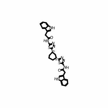 O=C(Cc1c[nH]c2ccccc12)Nc1nnc([C@@H]2CCC[C@@H](c3nnc(NC(=O)Cc4c[nH]c5ccccc45)s3)C2)s1